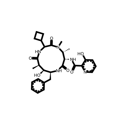 C[C@@H]1[C@H](NC(=O)c2ncccc2O)C(=O)N[C@@H](Cc2ccccc2)[C@@H](O)[C@@H](C)C(=O)NC(C2CCC2)C(=O)N1C